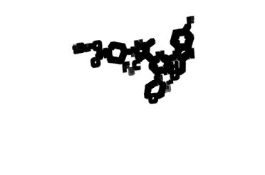 Cc1nn(C2CCN(C(=O)OC(C)(C)C)CC2)c(C(F)(F)F)c1-c1cc(N2CCOC[C@H]2C)nc(-n2c(CO)nc3cc(F)ccc32)n1